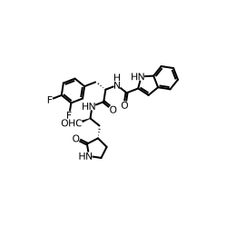 O=C[C@H](C[C@@H]1CCNC1=O)NC(=O)[C@H](Cc1ccc(F)c(F)c1)NC(=O)c1cc2ccccc2[nH]1